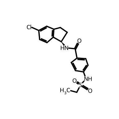 CCS(=O)(=O)Nc1ccc(C(=O)N[C@@H]2CCc3cc(Cl)ccc32)cc1